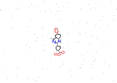 COc1ccc2nc(-c3ccc(C(=O)O)cc3)nc(C)c2c1